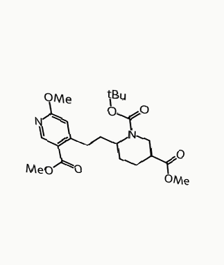 COC(=O)c1cnc(OC)cc1CCC1CCC(C(=O)OC)CN1C(=O)OC(C)(C)C